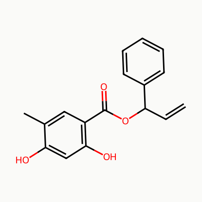 C=CC(OC(=O)c1cc(C)c(O)cc1O)c1ccccc1